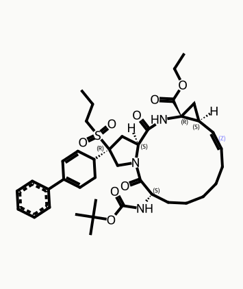 CCCS(=O)(=O)[C@@]1(C2C=CC(c3ccccc3)=CC2)C[C@H]2C(=O)N[C@]3(C(=O)OCC)C[C@H]3/C=C\CCCCC[C@H](NC(=O)OC(C)(C)C)C(=O)N2C1